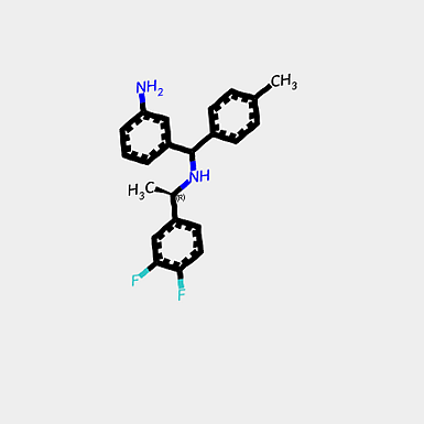 Cc1ccc(C(N[C@H](C)c2ccc(F)c(F)c2)c2cccc(N)c2)cc1